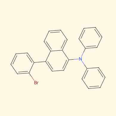 Brc1ccccc1-c1ccc(N(c2ccccc2)c2ccccc2)c2ccccc12